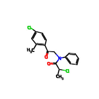 Cc1cc(Cl)ccc1C(=O)CN(C(=O)C(C)Cl)c1ccccc1